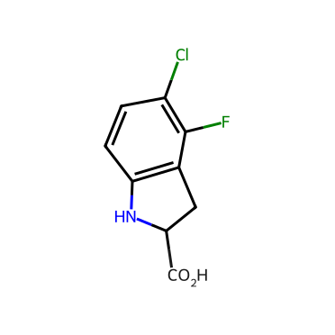 O=C(O)C1Cc2c(ccc(Cl)c2F)N1